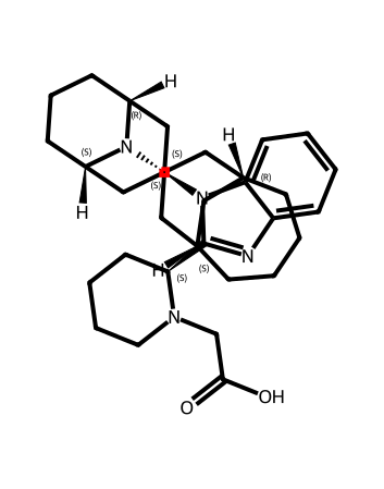 O=C(O)CN1CCCC[C@H]1c1nc2ccccc2n1[C@@H]1C[C@H]2CCC[C@@H](C1)N2[C@@H]1C[C@@H]2CCCC[C@@H](C2)C1